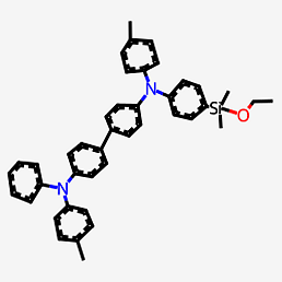 CCO[Si](C)(C)c1ccc(N(c2ccc(C)cc2)c2ccc(-c3ccc(N(c4ccccc4)c4ccc(C)cc4)cc3)cc2)cc1